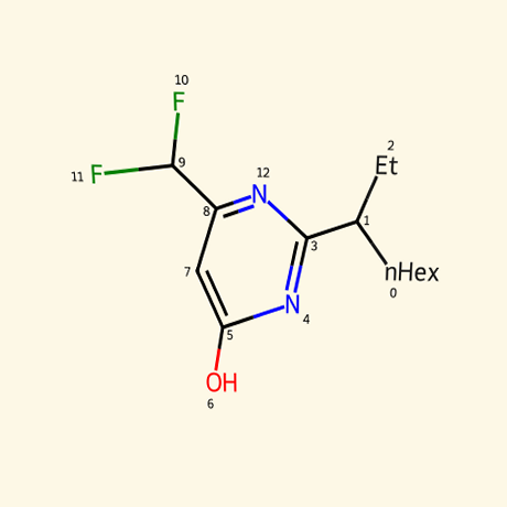 CCCCCCC(CC)c1nc(O)cc(C(F)F)n1